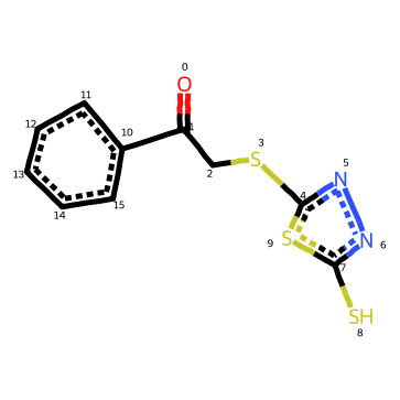 O=C(CSc1nnc(S)s1)c1ccccc1